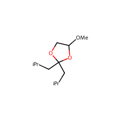 COC1COC(CC(C)C)(CC(C)C)O1